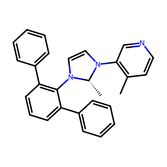 Cc1ccncc1N1C=CN(c2c(-c3ccccc3)cccc2-c2ccccc2)[C@H]1C